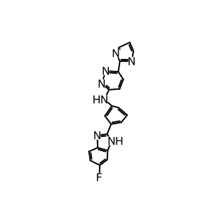 Fc1ccc2nc(-c3cccc(Nc4ccc(-c5ncccn5)nn4)c3)[nH]c2c1